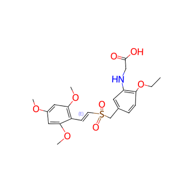 CCOc1ccc(CS(=O)(=O)/C=C/c2c(OC)cc(OC)cc2OC)cc1NCC(=O)O